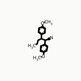 CCCC(c1ccc(OC)cc1)C(C#N)c1ccc(OC)cc1